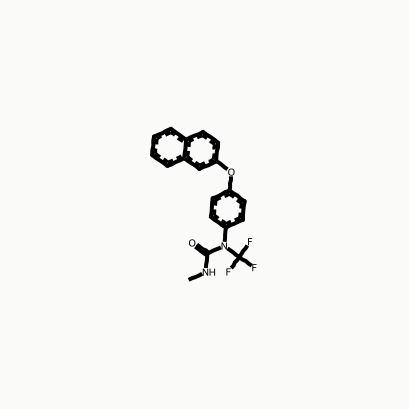 CNC(=O)N(c1ccc(Oc2ccc3ccccc3c2)cc1)C(F)(F)F